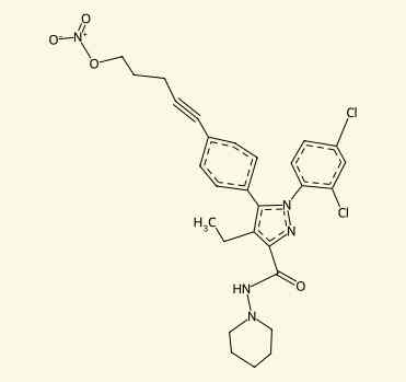 CCc1c(C(=O)NN2CCCCC2)nn(-c2ccc(Cl)cc2Cl)c1-c1ccc(C#CCCCO[N+](=O)[O-])cc1